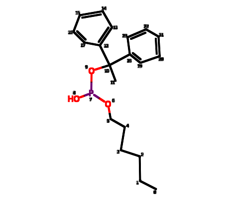 CCCCCCOP(O)OC(C)(c1ccccc1)c1ccccc1